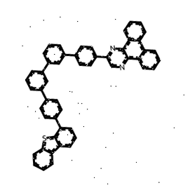 c1cc(-c2ccc(-c3cnc4c5ccccc5c5ccccc5c4n3)cc2)cc(-c2cccc(-c3ccc(-c4cccc5c4sc4ccccc45)cc3)c2)c1